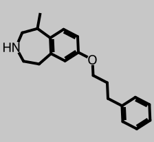 CC1CNCCc2cc(OCCCc3ccccc3)ccc21